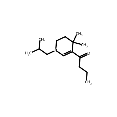 CCCC(=O)C1=CN(CC(C)C)CCC1(C)C